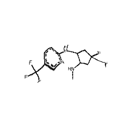 CNC1CC(F)(F)CC1Nc1ccc(C(F)(F)F)cn1